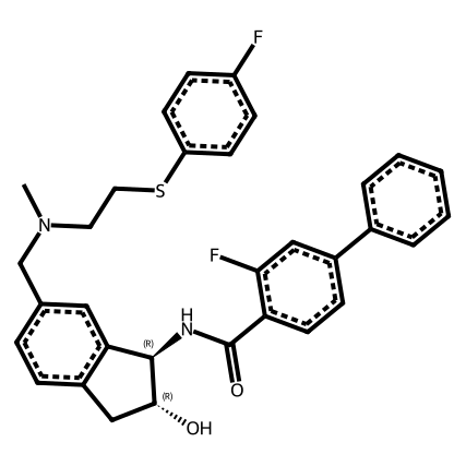 CN(CCSc1ccc(F)cc1)Cc1ccc2c(c1)[C@@H](NC(=O)c1ccc(-c3ccccc3)cc1F)[C@H](O)C2